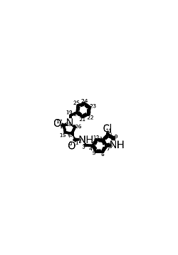 O=C(NCc1ccc2[nH]cc(Cl)c2c1)[C@H]1CC(=O)N(Cc2ccccc2)C1